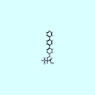 CC(CCN1CC=C(c2ccc(-c3ccncc3)cc2)CC1)(C(=O)O)S(C)(=O)=O